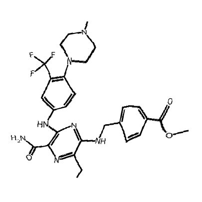 CCc1nc(C(N)=O)c(Nc2ccc(N3CCN(C)CC3)c(C(F)(F)F)c2)nc1NCc1ccc(C(=O)OC)cc1